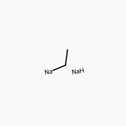 C[CH2][Na].[NaH]